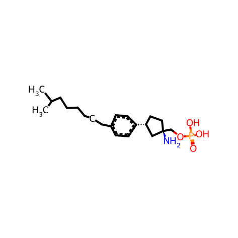 CC(C)CCCCCCc1ccc([C@@H]2CC[C@](N)(COP(=O)(O)O)C2)cc1